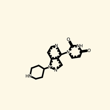 O=c1ccn(-c2nccc3c2cnn3C2CCNCC2)c(=O)[nH]1